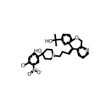 CC(C)(O)c1ccc2c(c1)C(=CCCN1CCC(O)(c3ccc(Cl)c([N+](=O)[O-])c3)CC1)c1cccnc1CO2